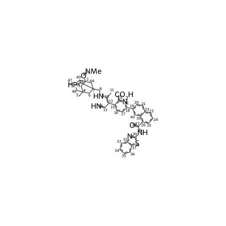 CNOC12CC3(C)CC(CN/C(C)=C(\C=N)c4ccc(-c5ccc6cccc(C(=O)Nc7nc8ccccc8s7)c6c5)nc4C(=O)O)(C1)C[PH](C)(C3)C2